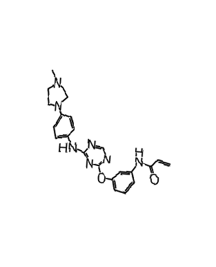 C=CC(=O)Nc1cccc(Oc2ncnc(Nc3ccc(N4CCN(C)CC4)cc3)n2)c1